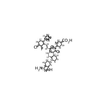 Nc1n[nH]c2cc(-c3cccc4c3CCN(C(=O)/C=C/c3c(-n5cnnn5)ccc(Cl)c3F)C4C(=O)Nc3ccc(C(=O)O)cn3)ccc12